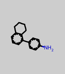 Nc1ccc(-c2cccc3c2CCCC3)cc1